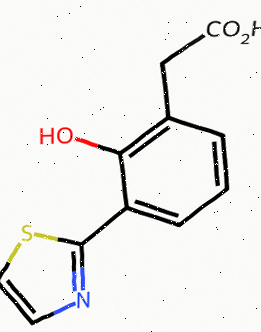 O=C(O)Cc1cccc(-c2nccs2)c1O